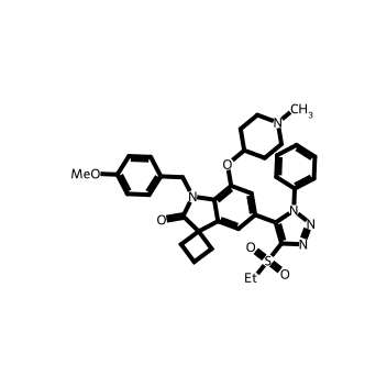 CCS(=O)(=O)c1nnn(-c2ccccc2)c1-c1cc(OC2CCN(C)CC2)c2c(c1)C1(CCC1)C(=O)N2Cc1ccc(OC)cc1